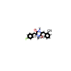 CCC1(Cc2ccc(F)cc2)C(=O)N(C)/C(=C/c2c(C#N)cccc2OC)C(=O)N1C